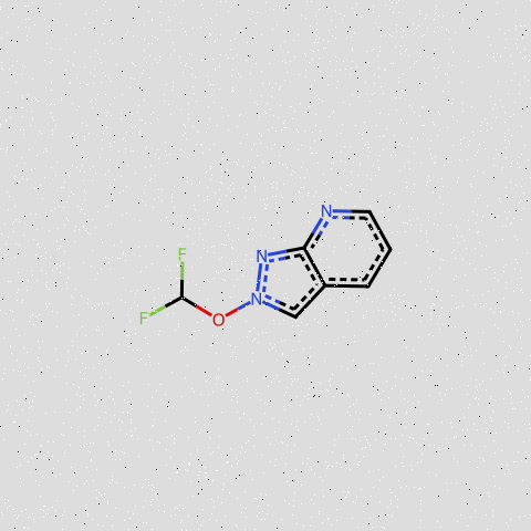 FC(F)On1cc2cccnc2n1